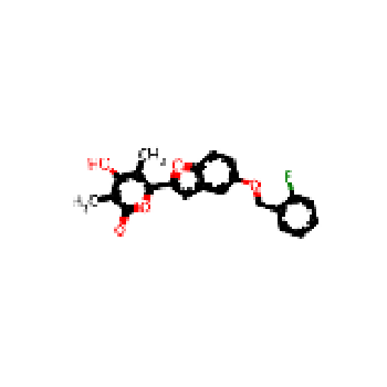 Cc1c(-c2cc3cc(OCc4ccccc4F)ccc3o2)oc(=O)c(C)c1O